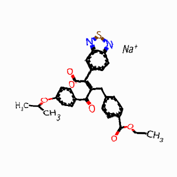 CCOC(=O)c1ccc(CC(C(=O)c2ccc(OC(C)C)cc2)=C(C(=O)[O-])c2ccc3nsnc3c2)cc1.[Na+]